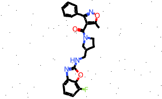 Cc1onc(-c2ccccc2)c1C(=O)N1CCC(CNc2nc3cccc(F)c3o2)C1